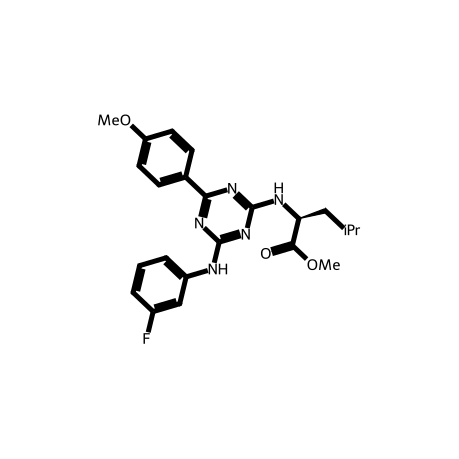 COC(=O)[C@H](CC(C)C)Nc1nc(Nc2cccc(F)c2)nc(-c2ccc(OC)cc2)n1